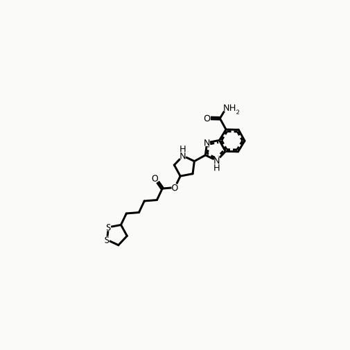 NC(=O)c1cccc2[nH]c(C3CC(OC(=O)CCCCC4CCSS4)CN3)nc12